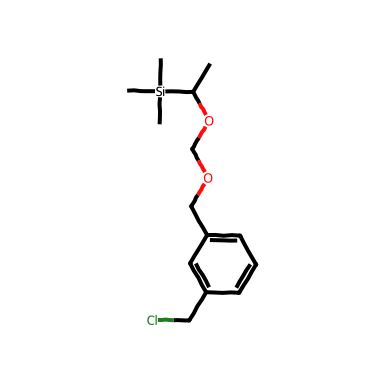 CC(OCOCc1cccc(CCl)c1)[Si](C)(C)C